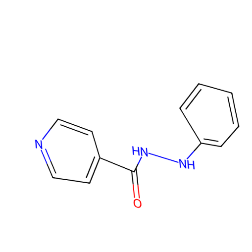 O=C(NNc1ccccc1)c1ccncc1